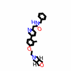 Cc1cc(OCCN2C[C@H]3COC[C@H]3C2)ccc1-c1ccc(CC(=O)NCc2ccccc2)nc1